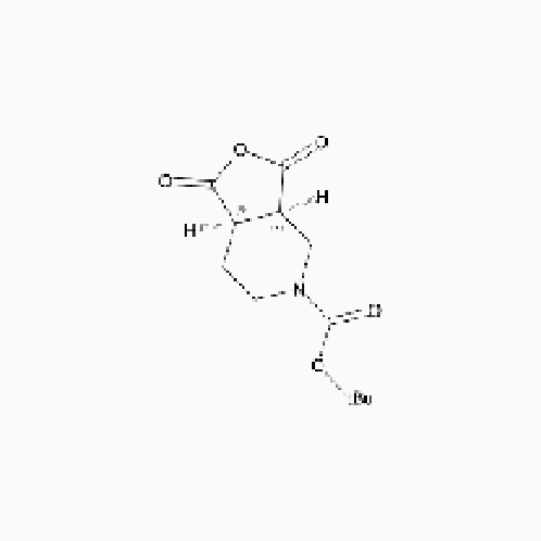 CC(C)(C)OC(=O)N1CC[C@H]2C(=O)OC(=O)[C@H]2C1